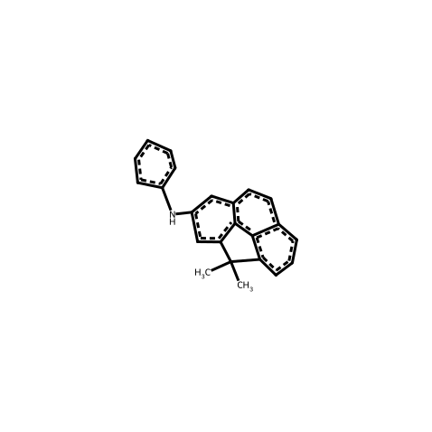 CC1(C)c2cccc3ccc4cc(Nc5ccccc5)cc1c4c23